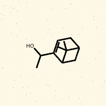 CC(O)C1=CCC2CC1C2(C)C